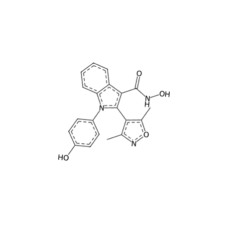 Cc1noc(C)c1-c1c(C(=O)NO)c2ccccc2n1-c1ccc(O)cc1